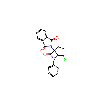 CCC1(N2C(=O)c3ccccc3C2=O)C(=O)N(c2ccccc2)C1CCl